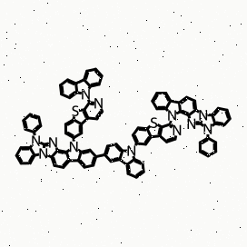 c1ccc(-n2c3ccccc3n3c4ccc5c6ccc(-c7ccc8c(c7)c7ccccc7n8-c7ccc8sc9c(-n%10c%11ccccc%11c%11ccc%12c(nc%13n(-c%14ccccc%14)c%14ccccc%14n%12%13)c%11%10)nccc9c8c7)cc6n(-c6ccc7sc8c(-n9c%10ccccc%10c%10ccccc%109)nccc8c7c6)c5c4nc23)cc1